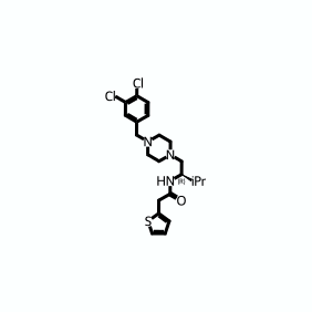 CC(C)[C@H](CN1CCN(Cc2ccc(Cl)c(Cl)c2)CC1)NC(=O)Cc1cccs1